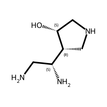 NC[C@@H](N)[C@H]1CNC[C@H]1O